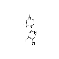 CN1CCN(c2cc(I)c(Cl)cn2)C(C)(C)C1